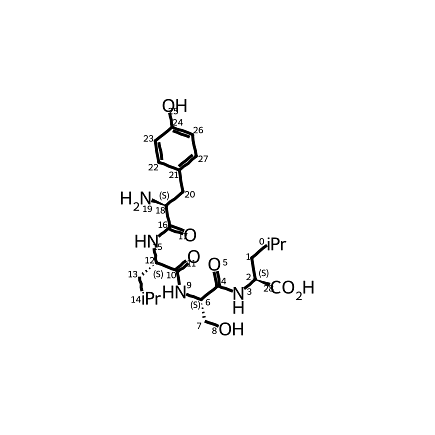 CC(C)C[C@H](NC(=O)[C@H](CO)NC(=O)[C@H](CC(C)C)NC(=O)[C@@H](N)Cc1ccc(O)cc1)C(=O)O